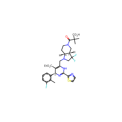 CCOC(=O)C1=C(CN2CC(F)(F)[C@H]3CN(C(=O)C(C)(C)C(=O)O)CC[C@H]32)NC(c2nccs2)=N[C@H]1c1cccc(F)c1C